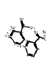 O=C([O-])c1ccc[siH]c1.O=C([O-])c1ccc[siH]c1.[Na+].[Na+]